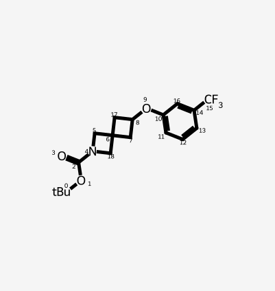 CC(C)(C)OC(=O)N1CC2(CC(Oc3cccc(C(F)(F)F)c3)C2)C1